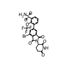 NS(=O)(=O)c1cccc(-c2cc(Br)c3c(c2)C(=O)N(C2CCC(=O)NC2=O)C3=O)c1OC(F)(F)F